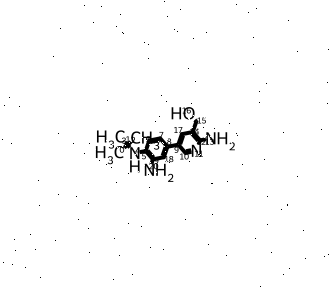 CC(C)(C)Nc1ccc(-c2cnc(N)c(CO)c2)cc1N